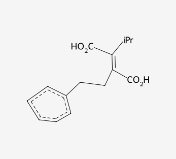 CC(C)C(C(=O)O)=C(CCc1ccccc1)C(=O)O